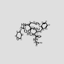 CC(C)CC(NC(=O)OC1CCOCC1)C(=O)NC(Cc1ccccc1)C(O)C(=O)NC1CC1